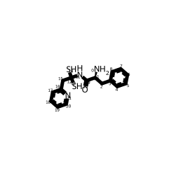 N[C@@H](Cc1ccccc1)C(=O)NC(S)(S)Cc1ccccn1